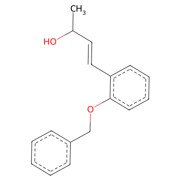 CC(O)/C=C/c1ccccc1OCc1ccccc1